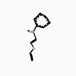 C=COC=C[SiH](C)c1ccccc1